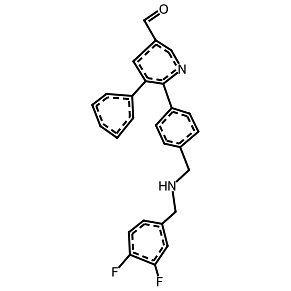 O=Cc1cnc(-c2ccc(CNCc3ccc(F)c(F)c3)cc2)c(-c2ccccc2)c1